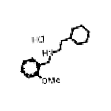 COc1ccccc1CNCCC1CCCCC1.Cl